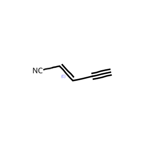 C#C/C=C/C#N